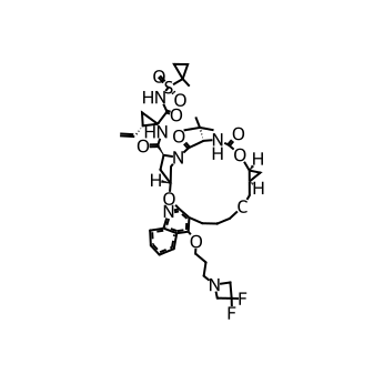 C=C[C@@H]1C[C@]1(NC(=O)[C@@H]1C[C@@H]2CN1C(=O)[C@H](C(C)(C)C)NC(=O)O[C@@H]1C[C@H]1CCCCCc1c(nc3ccccc3c1OCCCN1CC(F)(F)C1)O2)C(=O)NS(=O)(=O)C1(C)CC1